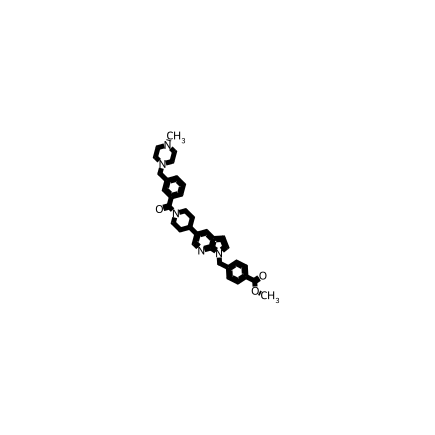 COC(=O)c1ccc(Cn2ccc3cc(C4CCN(C(=O)c5cccc(CN6CCN(C)CC6)c5)CC4)cnc32)cc1